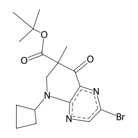 CC(C)(C)OC(=O)C1(C)CN(C2CCC2)c2ncc(Br)nc2C1=O